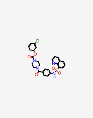 O=C(OC1C=C(Cl)C=CC1)N1CCN(C(=O)c2ccc(NS(=O)(=O)c3cccc4cccnc34)cc2)CC1